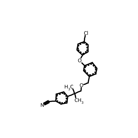 CC(C)(COCc1cccc(Oc2ccc(Cl)cc2)c1)c1ccc(C#N)cc1